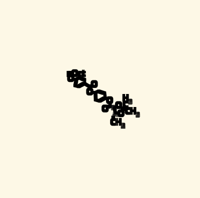 C=C[C@H]1OC(C)(C)O[C@H]1C(=O)Oc1ccc(OC(=O)c2ccc(OCCCCCCCC)cc2)cc1